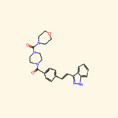 O=C(c1ccc(C=Cc2n[nH]c3ccccc23)cc1)N1CCN(C(=O)N2CCOCC2)CC1